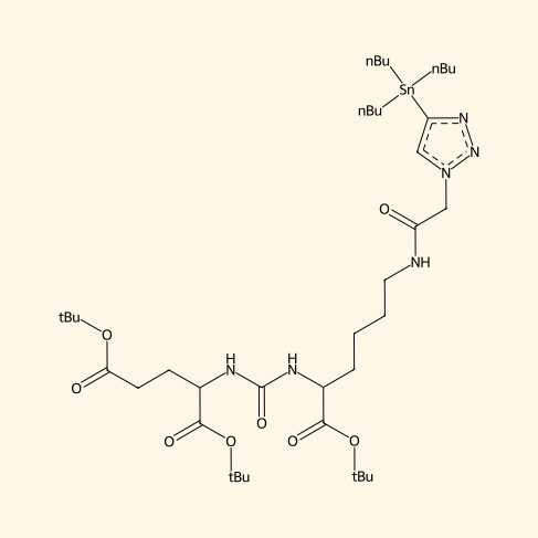 CCC[CH2][Sn]([CH2]CCC)([CH2]CCC)[c]1cn(CC(=O)NCCCCC(NC(=O)NC(CCC(=O)OC(C)(C)C)C(=O)OC(C)(C)C)C(=O)OC(C)(C)C)nn1